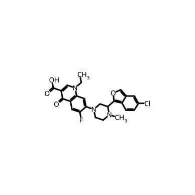 CCn1cc(C(=O)O)c(=O)c2cc(F)c(N3CCN(C)C(c4occ5cc(Cl)ccc45)C3)cc21